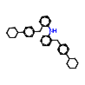 c1ccc(Nc2ccccc2Cc2ccc(C3CCCCC3)cc2)c(Cc2ccc(C3CCCCC3)cc2)c1